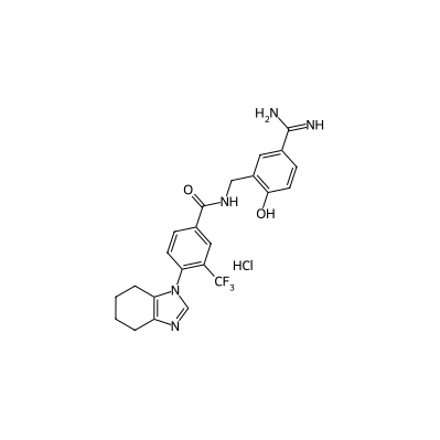 Cl.N=C(N)c1ccc(O)c(CNC(=O)c2ccc(-n3cnc4c3CCCC4)c(C(F)(F)F)c2)c1